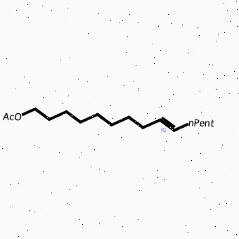 CCCCC/C=C/CCCCCCCCOC(C)=O